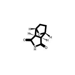 O=C1NC(=O)[C@H]2[C@@H]1[C@@H]1CC[C@H]2O1